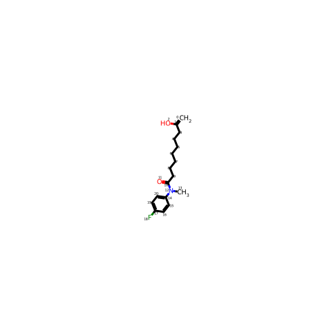 C=C(O)CCCCCCCC(=O)N(C)c1ccc(F)cc1